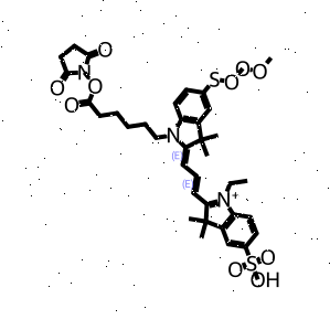 CC[N+]1=C(/C=C/C=C2/N(CCCCCC(=O)ON3C(=O)CCC3=O)c3ccc(SOOOC)cc3C2(C)C)C(C)(C)c2cc(S(=O)(=O)O)ccc21